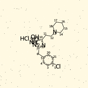 Cl.Clc1ccc(Cc2noc(CCN3CCCCC3)n2)cc1.NO